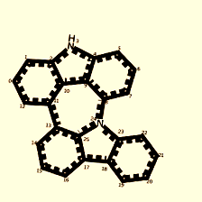 c1cc2[nH]c3cccc4c3c2c(c1)c1cccc2c3ccccc3n4c12